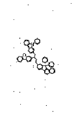 c1ccc(-n2c3ccccc3c3ccc(CC(CCc4ccc5c(c4)C(c4ccccc4)(c4ccccc4)c4c-5ccc5ccccc45)c4ccc5c(c4)oc4ccccc45)cc32)cc1